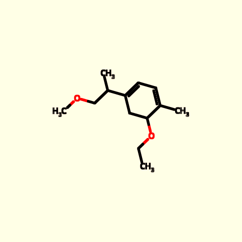 CCOC1CC(C(C)COC)=CC=C1C